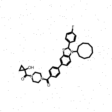 O=C(c1ccc(-c2ccc3c(c2)SC(c2ccc(F)cc2)N3C2CCCCCCCC2)cc1)N1CCN(C(=O)C2(O)CC2)CC1